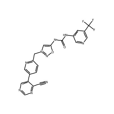 N#Cc1ncncc1-c1ccc(C[n+]2cc([N-]C(=O)Nc3cncc(C(F)(F)F)c3)on2)nc1